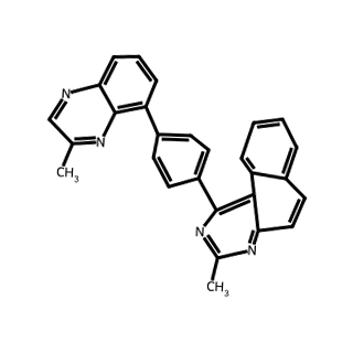 Cc1cnc2cccc(-c3ccc(-c4nc(C)nc5ccc6ccccc6c45)cc3)c2n1